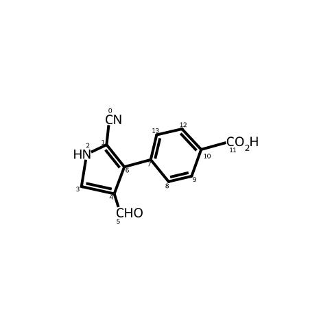 N#Cc1[nH]cc(C=O)c1-c1ccc(C(=O)O)cc1